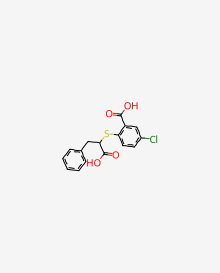 O=C(O)c1cc(Cl)ccc1SC(Cc1ccccc1)C(=O)O